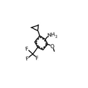 COc1cc(C(F)(F)F)cc(C2CC2)c1N